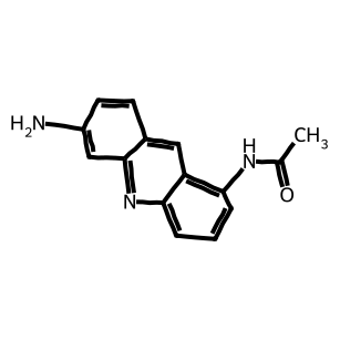 CC(=O)Nc1cccc2nc3cc(N)ccc3cc12